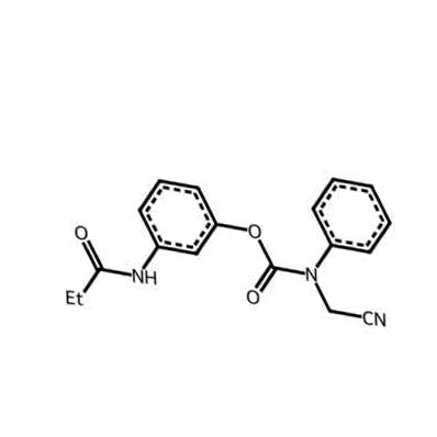 CCC(=O)Nc1cccc(OC(=O)N(CC#N)c2ccccc2)c1